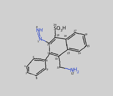 N=Nc1c(-c2ccccc2)c(CN)c2ccccc2c1S(=O)(=O)O